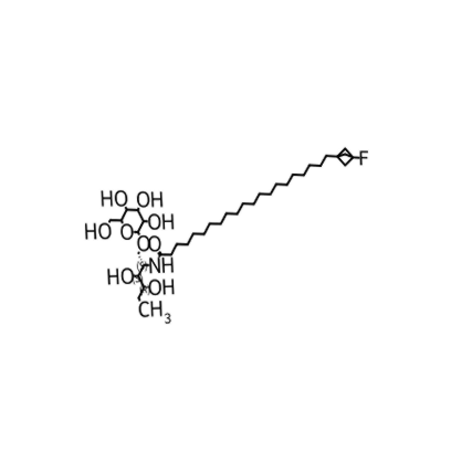 CC[C@@H](O)[C@@H](O)[C@H](COC1OC(CO)C(O)C(O)C1O)NC(=O)CCCCCCCCCCCCCCCCCCCCC12CC(F)(C1)C2